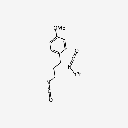 CCCN=C=O.COc1ccc(CCCN=C=O)cc1